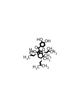 CC(C)=CC[C@@H]1C[C@]2(CC=C(C)C)C(=O)[C@@](CC=C(C)C)(C(=O)C(C(=O)c3ccc(O)c(O)c3)=C2O)C1(C)C